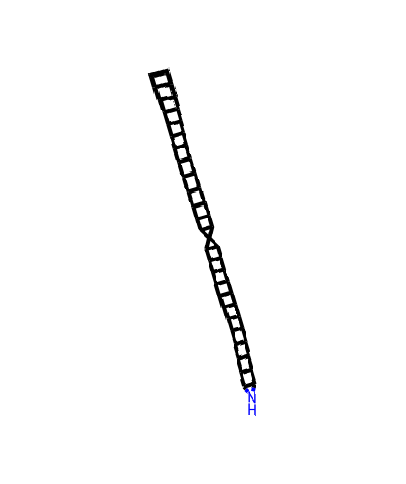 C1=CC2C1C1C2C2C1C1C2C2C1C1C2C2C1C1C2C2C1C1C2C2C1C1C2C12C1C3C4C5C6C7C8C9C%10C%11C%12C%13NC%13C%12C%11C%10C9C8C7C6C5C4C3C12